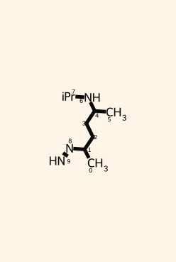 CC(CCC(C)NC(C)C)N=N